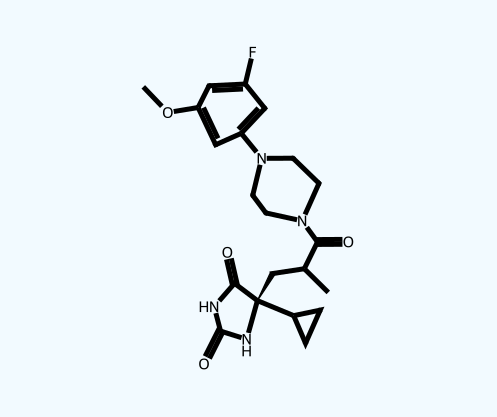 COc1cc(F)cc(N2CCN(C(=O)C(C)C[C@@]3(C4CC4)NC(=O)NC3=O)CC2)c1